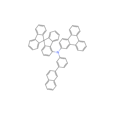 c1cc(-c2ccc3ccccc3c2)cc(N(c2ccc3c4ccccc4c4ccccc4c3c2)c2cccc3c2-c2ccccc2C32c3ccccc3-c3ccccc32)c1